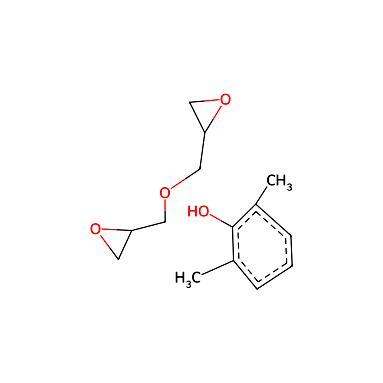 C(OCC1CO1)C1CO1.Cc1cccc(C)c1O